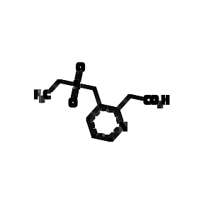 O=C(O)Cc1ncccc1CS(=O)(=O)CC(F)(F)F